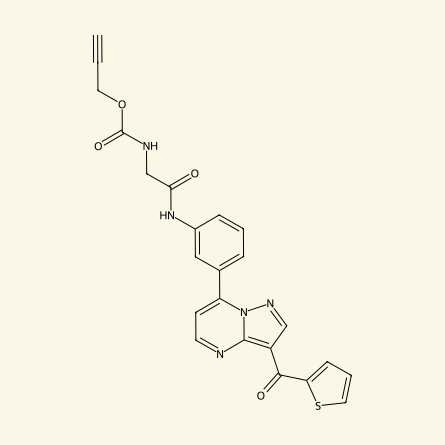 C#CCOC(=O)NCC(=O)Nc1cccc(-c2ccnc3c(C(=O)c4cccs4)cnn23)c1